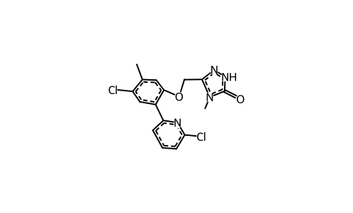 Cc1cc(OCc2n[nH]c(=O)n2C)c(-c2cccc(Cl)n2)cc1Cl